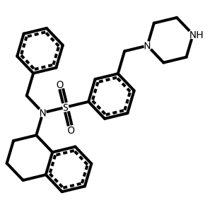 O=S(=O)(c1cccc(CN2CCNCC2)c1)N(Cc1ccccc1)C1CCCc2ccccc21